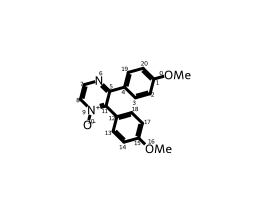 COc1ccc(-c2ncc[n+]([O-])c2-c2ccc(OC)cc2)cc1